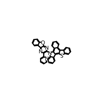 c1ccc(-c2nc3c(nc2-n2c4ccccc4c4c5sc6ccccc6c5c5ccccc5c42)oc2ccccc23)nc1